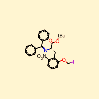 CC(C)(C)OC(=O)[C@H](Cc1c(OCI)cccc1[N+](=O)[O-])N=C(c1ccccc1)c1ccccc1